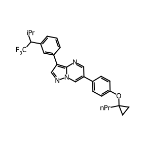 CCCC1(Oc2ccc(-c3cnc4c(-c5cccc(C(C(C)C)C(F)(F)F)c5)cnn4c3)cc2)CC1